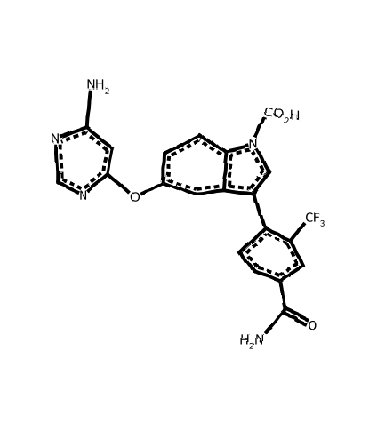 NC(=O)c1ccc(-c2cn(C(=O)O)c3ccc(Oc4cc(N)ncn4)cc23)c(C(F)(F)F)c1